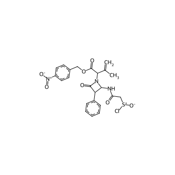 C=C(C)C(C(=O)OCc1ccc([N+](=O)[O-])cc1)N1C(=O)C(c2ccccc2)C1NC(=O)C[S+]([O-])Cl